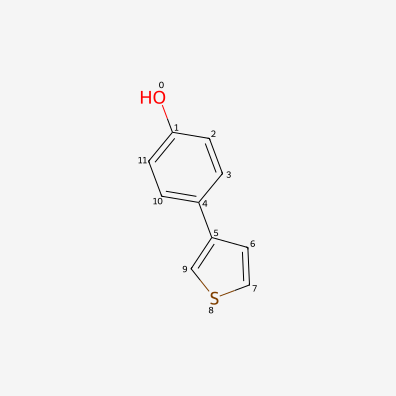 Oc1ccc(-c2ccsc2)cc1